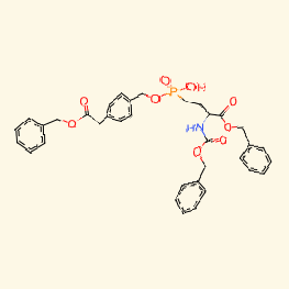 O=C(Cc1ccc(COP(=O)(O)CCC(NC(=O)OCc2ccccc2)C(=O)OCc2ccccc2)cc1)OCc1ccccc1